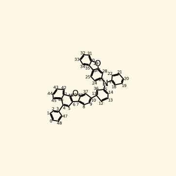 c1ccc(-c2cc3c4ccc(-c5cccc(N(c6ccccc6)c6ccc7c(c6)oc6ccccc67)c5)cc4oc3c3ccccc23)cc1